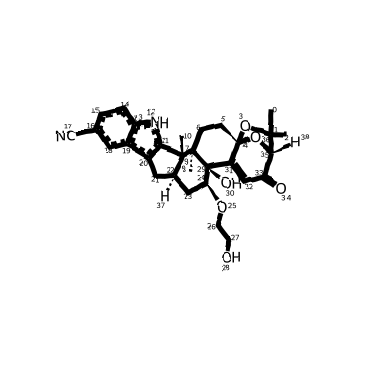 CC1(C)O[C@@]23CC[C@]4(C)[C@@]5(C)c6[nH]c7ccc(C#N)cc7c6C[C@@H]5C[C@H](OCCO)[C@@]4(O)C2=CC(=O)[C@@H]1O3